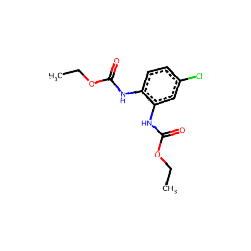 CCOC(=O)Nc1ccc(Cl)cc1NC(=O)OCC